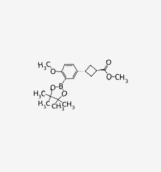 COc1ccc([C@H]2C[C@H](C(=O)OC)C2)cc1B1OC(C)(C)C(C)(C)O1